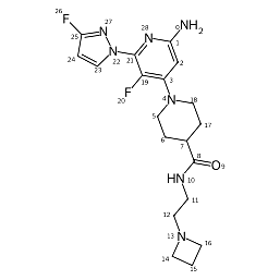 Nc1cc(N2CCC(C(=O)NCCN3CCC3)CC2)c(F)c(-n2ccc(F)n2)n1